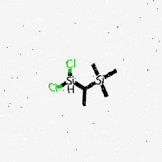 CC([SiH](Cl)Cl)[Si](C)(C)C